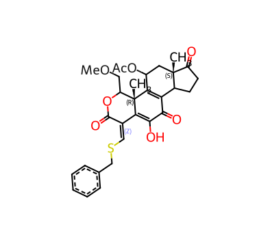 COCC1OC(=O)/C(=C\SCc2ccccc2)C2=C(O)C(=O)C3=C(C(OC(C)=O)C[C@]4(C)C(=O)CCC34)[C@]21C